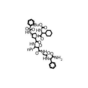 CCCC(NC(=O)C1C[C@@H](NS(=O)(=O)c2ccccc2)CN1C(=O)C(NC(=O)OCC(C)C)C1CCCCC1)C(=O)C(=O)NCC(=O)N[C@H](C(N)=O)c1ccccc1